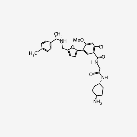 COc1cc(Cl)c(C(=O)NCC(=O)N[C@H]2CC[C@H](N)CC2)cc1-c1ccc(CN[C@H](C)c2ccc(C)cc2)o1